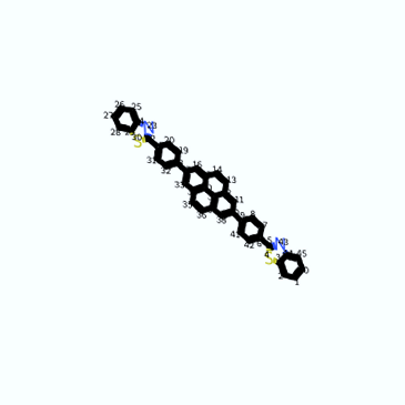 c1ccc2sc(-c3ccc(-c4cc5ccc6cc(-c7ccc(-c8nc9ccccc9s8)cc7)cc7ccc(c4)c5c67)cc3)nc2c1